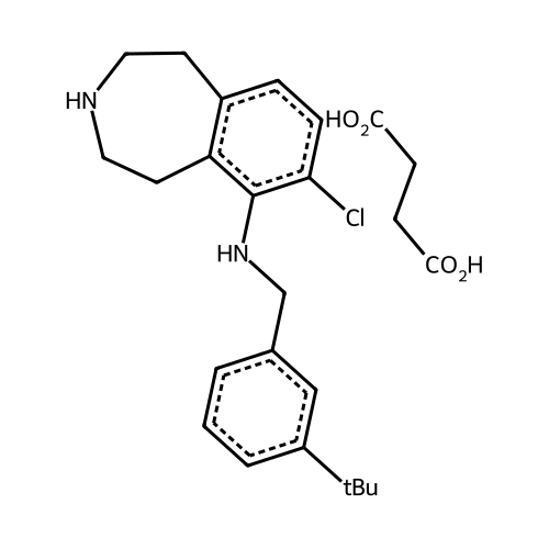 CC(C)(C)c1cccc(CNc2c(Cl)ccc3c2CCNCC3)c1.O=C(O)CCC(=O)O